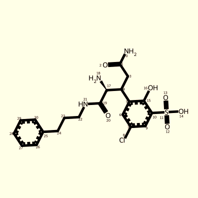 NC(=O)CC(c1cc(Cl)cc(S(=O)(=O)O)c1O)[C@H](N)C(=O)NCCCc1ccccc1